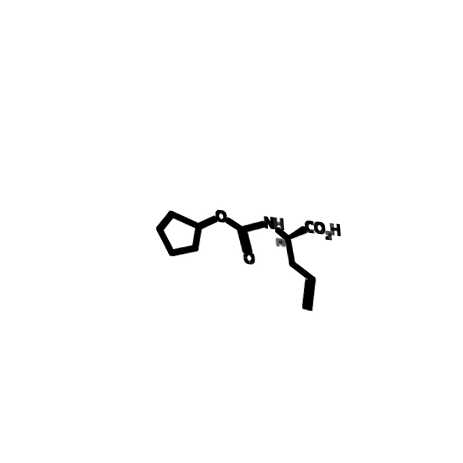 C=CC[C@@H](NC(=O)OC1CCCC1)C(=O)O